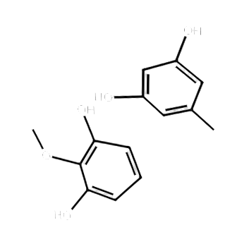 COc1c(O)cccc1O.Cc1cc(O)cc(O)c1